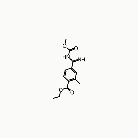 CCOC(=O)c1ccc(C(=N)NC(=O)OC)cc1C